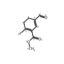 COC(=O)C1=C(F)CCC(C=O)=C1